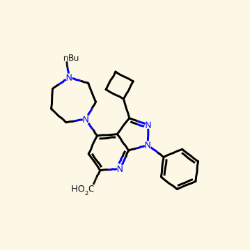 CCCCN1CCCN(c2cc(C(=O)O)nc3c2c(C2CCC2)nn3-c2ccccc2)CC1